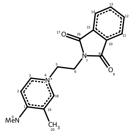 CNc1cc[n+](CCN2C(=O)c3ccccc3C2=O)cc1C